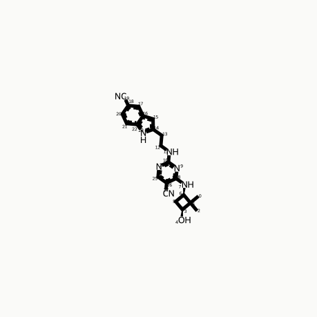 CC1(C)[C@@H](O)C[C@H]1Nc1nc(NCCc2cc3cc(C#N)ccc3[nH]2)ncc1C#N